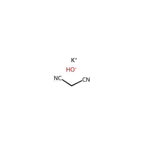 N#CCC#N.[K+].[OH-]